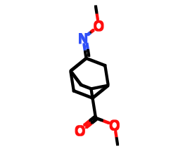 CO/N=C1\CC2CCC1CC2C(=O)OC